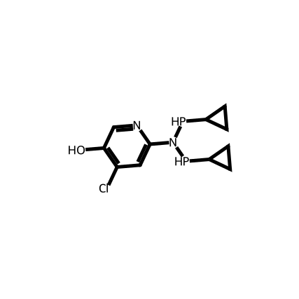 Oc1cnc(N(PC2CC2)PC2CC2)cc1Cl